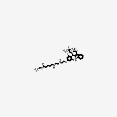 CCOC(=O)CCCCNCCNCCOc1cc(F)c([C@@H]2c3[nH]c4ccccc4c3C[C@@H](C)N2CC(C)(C)F)c(F)c1